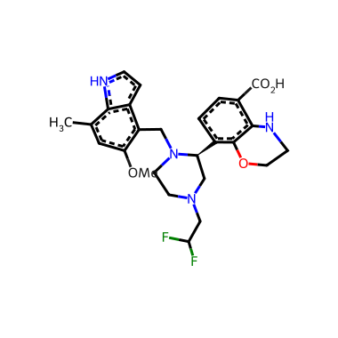 COc1cc(C)c2[nH]ccc2c1CN1CCN(CC(F)F)C[C@@H]1c1ccc(C(=O)O)c2c1OCCN2